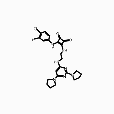 O=c1c(NCCNc2cc(N3CCCC3)nc(N3CCCC3)n2)c(Nc2ccc(Cl)c(F)c2)c1=O